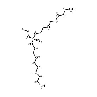 CCOP(=O)(OCCOCCOCCO)OCCOCCOCCO